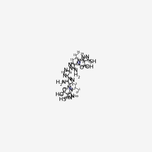 CCCCc1nn(-c2cc(-n3nc(CCCC)c(/N=N/c4c(C(=O)O)c(S)nn4C)c3N)ncn2)c(N)c1/N=N/c1c(C(=O)O)c(S)nn1C